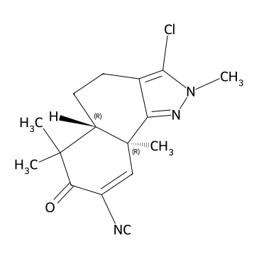 [C-]#[N+]C1=C[C@]2(C)c3nn(C)c(Cl)c3CC[C@H]2C(C)(C)C1=O